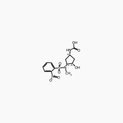 CN([C@H]1C[C@@H](NC(=O)O)C[C@H]1O)S(=O)(=O)c1ccccc1[N+](=O)[O-]